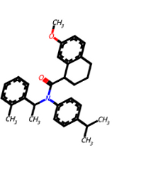 COc1ccc2c(c1)C(C(=O)N(c1ccc(C(C)C)cc1)C(C)c1ccccc1C)CCC2